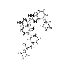 O=C(Nc1cncc(-c2cnc3[nH]nc(-c4nc5c(-c6ccsc6)ccnc5[nH]4)c3c2F)c1)C1CCC1